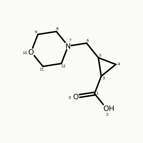 O=C(O)C1CC1CN1CCOCC1